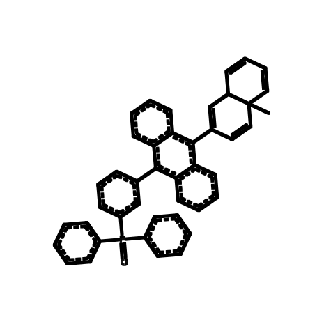 CC12C=CC=CC1C=C(c1c3ccccc3c(-c3cccc(P(=O)(c4ccccc4)c4ccccc4)c3)c3ccccc13)C=C2